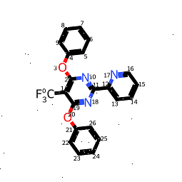 FC(F)(F)c1c(Oc2ccccc2)nc(-c2ccccn2)nc1Oc1ccccc1